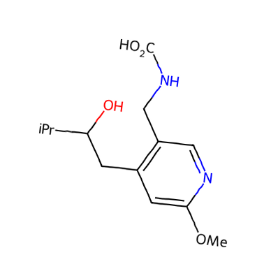 COc1cc(CC(O)C(C)C)c(CNC(=O)O)cn1